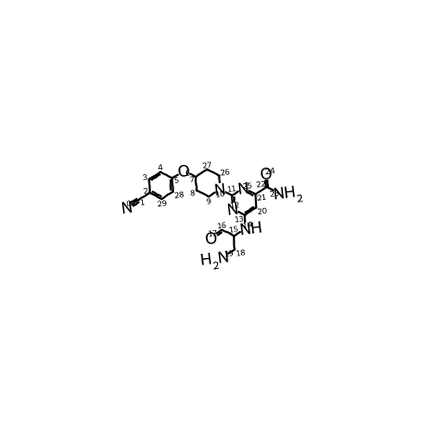 N#Cc1ccc(OC2CCN(c3nc(NC(C=O)CN)cc(C(N)=O)n3)CC2)cc1